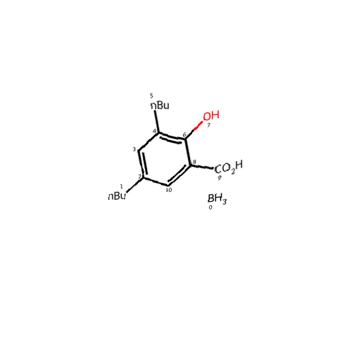 B.CCCCc1cc(CCCC)c(O)c(C(=O)O)c1